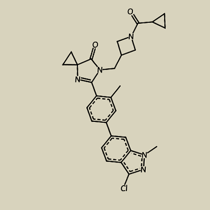 Cc1cc(-c2ccc3c(Cl)nn(C)c3c2)ccc1C1=NC2(CC2)C(=O)N1CC1CN(C(=O)C2CC2)C1